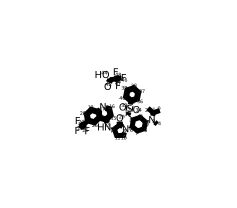 CC(C)N(C)[C@@H]1CC[C@H](N2CC[C@H](Nc3ccnc4ccc(C(F)(F)F)cc34)C2=O)[C@H](CS(=O)(=O)c2ccccc2)C1.O=C(O)C(F)(F)F